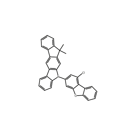 CC1(C)c2ccccc2-c2cc3c4ccccc4n(-c4cc(Cl)c5c(c4)oc4ccccc45)c3cc21